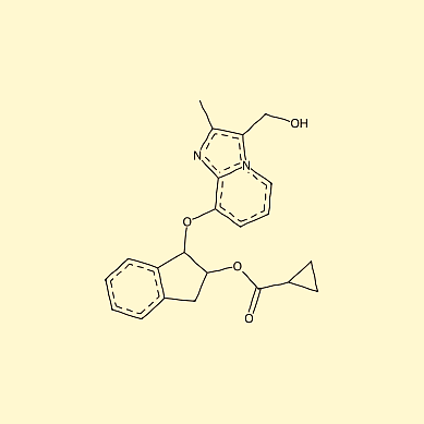 Cc1nc2c(OC3c4ccccc4CC3OC(=O)C3CC3)cccn2c1CO